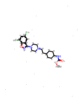 CC(C)(C)OC(=O)NC1CCC(CCN2CCN(c3noc4c(F)cc(F)cc34)CC2)CC1